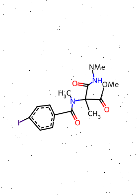 CNNC(=O)C(C)(C(=O)OC)N(C)C(=O)c1ccc(I)cc1